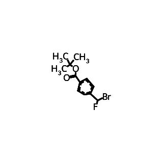 CC(C)(C)OC(=O)c1ccc(C(F)Br)cc1